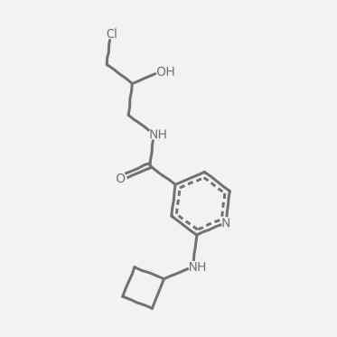 O=C(NCC(O)CCl)c1ccnc(NC2CCC2)c1